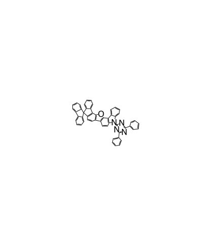 c1ccc(-c2nc(-c3ccccc3)nc(-n3c4ccccc4c4c5oc6c7c(ccc6c5ccc43)C3(c4ccccc4-c4ccccc43)c3ccccc3-7)n2)cc1